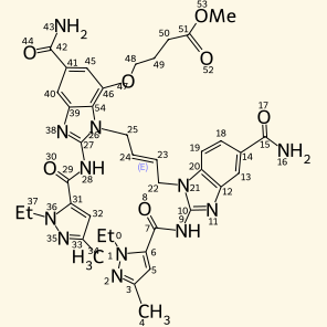 CCn1nc(C)cc1C(=O)Nc1nc2cc(C(N)=O)ccc2n1C/C=C/Cn1c(NC(=O)c2cc(C)nn2CC)nc2cc(C(N)=O)cc(OCCCC(=O)OC)c21